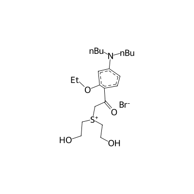 CCCCN(CCCC)c1ccc(C(=O)C[S+](CCO)CCO)c(OCC)c1.[Br-]